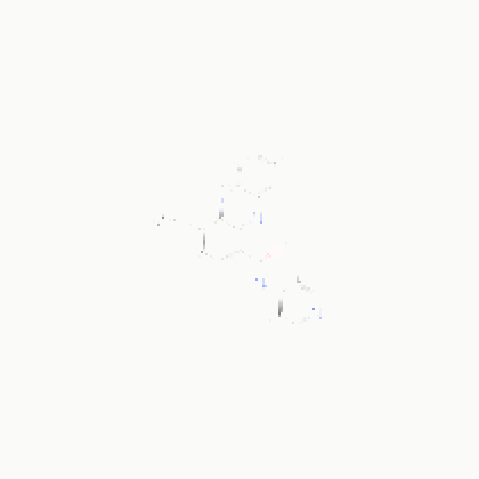 COc1ccc(C(=O)Nc2c(Cl)cncc2Cl)c2nc3ccccc3nc12